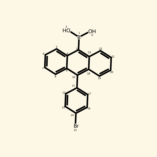 OB(O)c1c2ccccc2c(-c2ccc(Br)cc2)c2ccccc12